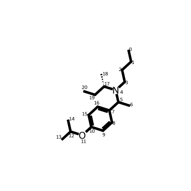 CCCCN(C(C)c1ccc(OC(C)C)cc1)[C@@H](C)CC